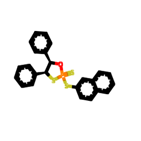 S=P1(Sc2ccc3ccccc3c2)O[C@H](c2ccccc2)[C@H](c2ccccc2)S1